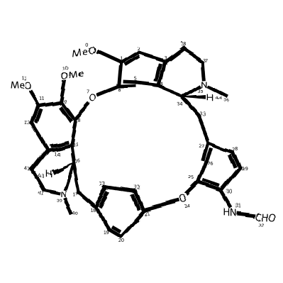 COc1cc2c3cc1Oc1c(OC)c(OC)cc4c1[C@H](Cc1ccc(cc1)Oc1cc(ccc1NC=O)C[C@H]3N(C)CC2)N(C)CC4